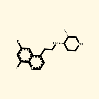 Fc1cc(F)c2nccc(CCN[C@H]3CCNC[C@H]3F)c2c1